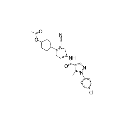 CC(=O)OC1CCC(C2=CC=C(NC(=O)c3cnn(-c4ccc(Cl)cc4)c3C)CN2C#N)CC1